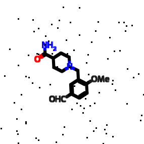 COc1ccc(C=O)cc1CN1CCC(C(N)=O)CC1